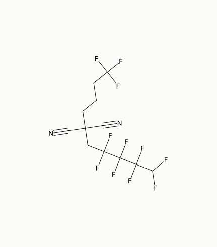 N#CC(C#N)(CCCC(F)(F)F)CC(F)(F)C(F)(F)C(F)(F)C(F)F